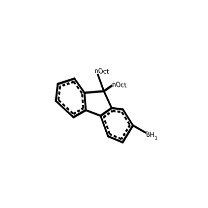 Bc1ccc2c(c1)C(CCCCCCCC)(CCCCCCCC)c1ccccc1-2